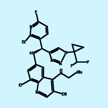 CCc1nc(F)ccc1[C@H](Nc1cc(Cl)c2ncc(C#N)c(NCC(C)(C)C)c2c1)c1cn(C2(C(F)F)CC2)nn1